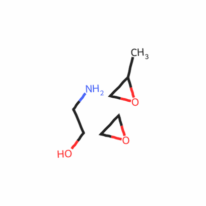 C1CO1.CC1CO1.NCCO